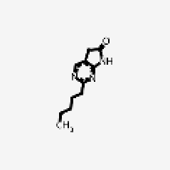 CCCCCc1ncc2c(n1)NC(=O)C2